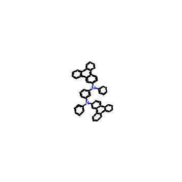 c1ccc(N(c2cccc(N(c3ccccc3)c3ccc4c5ccccc5c5ccccc5c4c3)c2)c2ccc3c4ccccc4c4ccccc4c3c2)cc1